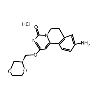 Cl.Nc1ccc2c(c1)CCn1c-2cc(OC[C@@H]2COCCO2)nc1=O